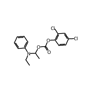 CCN(c1ccccc1)C(C)OC(=O)Oc1ccc(Cl)cc1Cl